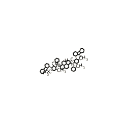 Cc1cc(C)c(N(c2ccccc2)c2ccc3ccc4c(N(c5ccccc5)c5c(C)cc(C)c(-c6cccc7c6sc6ccccc67)c5C)ccc5ccc2c3c54)c(C)c1-c1cccc2c1sc1ccccc12